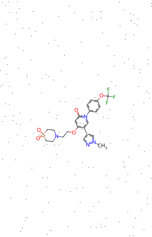 Cn1cc(-c2cn(-c3ccc(OC(F)(F)F)cc3)c(=O)cc2OCCN2CCS(=O)(=O)CC2)cn1